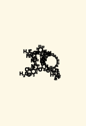 COc1ccc2c(O[C@@H]3C[C@H]4C(=O)N[C@]5(P(=O)(O)Cc6c(F)cccc6F)C[C@H]5CCCCCCC[C@H](NC(=O)CC(F)(F)F)C(=O)N4C3)cc(-c3csc(NC(C)C)n3)nc2c1Cl